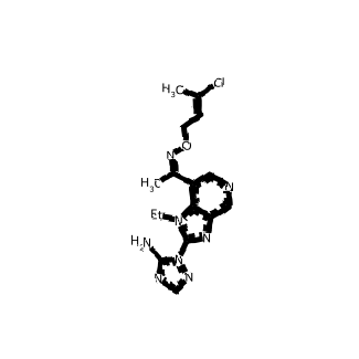 CCn1c(-n2ncnc2N)nc2cncc(/C(C)=N\OC/C=C(\C)Cl)c21